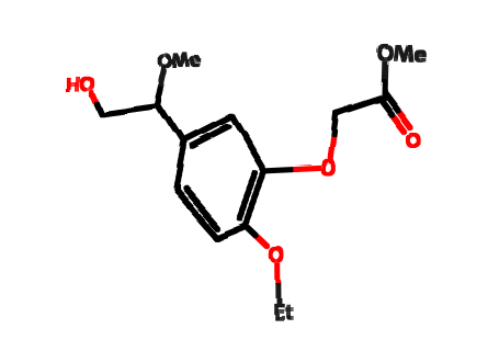 CCOc1ccc(C(CO)OC)cc1OCC(=O)OC